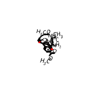 COCc1coc(-c2nc3oc2C24c5ccccc5N[C@H]2Oc2ccc(cc24)C[C@H](C)C(=O)N[C@H]3C(C)C)n1